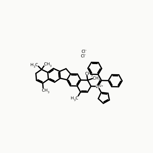 CC1=CCC(C)(C)c2cc3c(cc21)-c1cc2c(cc1C3)C(C)(C)[CH]([Zr+2]([C]1=CC=CC1)=[C](c1ccccc1)c1ccccc1)C=C2C.[Cl-].[Cl-]